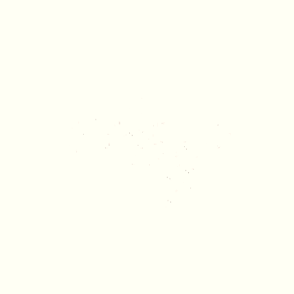 CC(=O)OC(C)OC(=O)C1=CC(C)S[C@H]2C(NC(=O)C(=NOC3CCCC3)c3nsc(N)n3)C(=O)N12